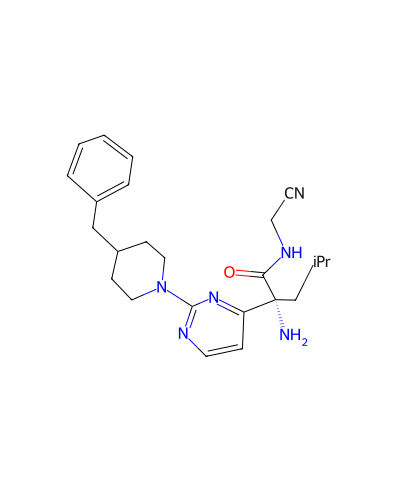 CC(C)C[C@](N)(C(=O)NCC#N)c1ccnc(N2CCC(Cc3ccccc3)CC2)n1